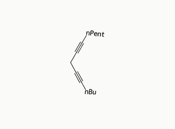 CCCCC#CCC#CCCCCC